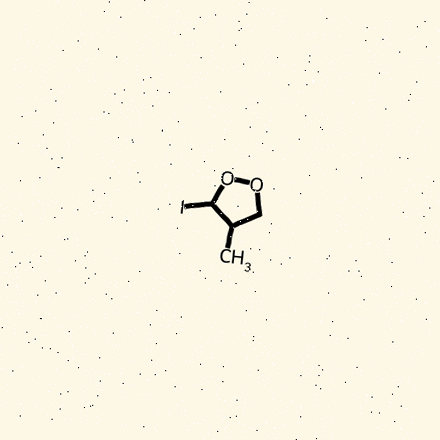 CC1COOC1I